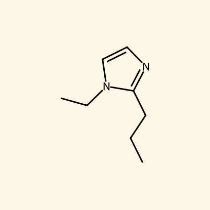 CCCc1nccn1CC